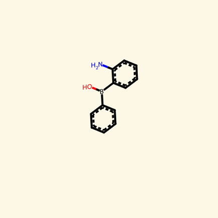 Nc1ccccc1B(O)c1ccccc1